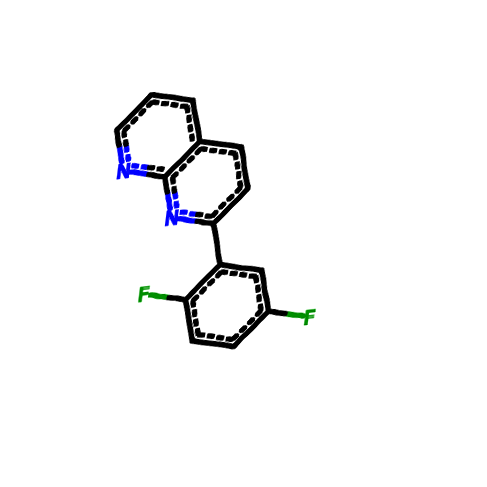 Fc1ccc(F)c(-c2ccc3cccnc3n2)c1